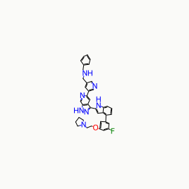 Fc1cc(OCCN2CCCC2)cc(-c2cccc3[nH]c(-c4n[nH]c5cnc(-c6cncc(CNCc7ccccc7)c6)cc45)cc23)c1